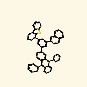 c1ccc(-c2c3ccccc3c(-c3ccccc3)c3cc(-c4cc(-c5ccc6ccccc6c5)cc(-c5cccc6c5sc5ccccc56)c4)ccc23)cc1